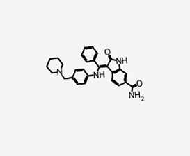 NC(=O)c1ccc2c(c1)NC(=O)C2=C(Nc1ccc(CN2CCCCC2)cc1)c1ccccc1